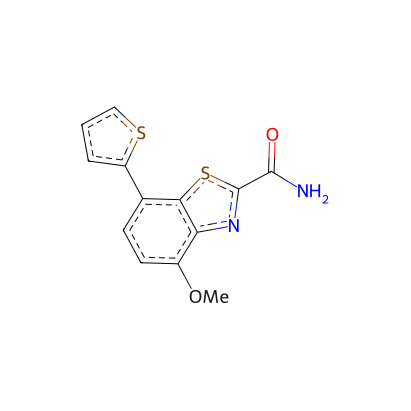 COc1ccc(-c2cccs2)c2sc(C(N)=O)nc12